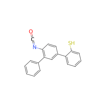 O=C=Nc1ccc(-c2ccccc2S)cc1-c1ccccc1